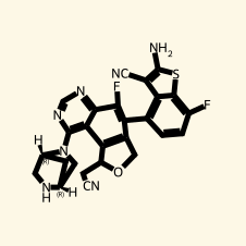 N#CCC1OCc2c(-c3ccc(F)c4sc(N)c(C#N)c34)c(F)c3ncnc(N4C[C@H]5C[C@@H]4CN5)c3c21